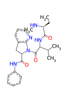 CC[C@H](NC)C(=O)NC(C(=O)N1c2ncccc2CC1C(=O)Nc1ccccc1)C(C)C